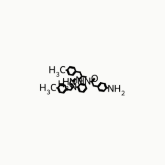 Cc1ccc(CC(CNC(=O)Cc2ccc(N)cc2)N(C=N)c2ccccc2N(C)Cc2ccc(C)cc2)cc1